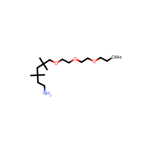 COCCOCCOCCOCC(C)(C)CC(C)(C)CCN